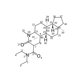 CCN(CC)C(=O)C1C[C@@]2(C)C(CC[C@H]3[C@@H]4CCC[C@@]4(C)CC[C@@H]32)N(C)C1=O